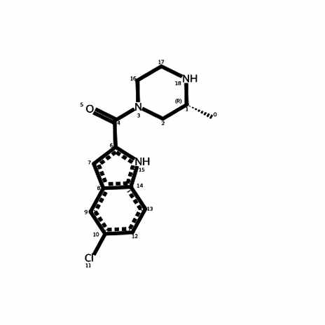 C[C@@H]1CN(C(=O)c2cc3cc(Cl)ccc3[nH]2)CCN1